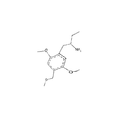 CCC(N)Cc1cc(OC)c(COC)cc1OC